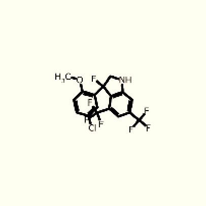 COc1ccc(Cl)cc1C1(F)CNc2cc(C(F)(F)F)cc(C(F)(F)F)c21